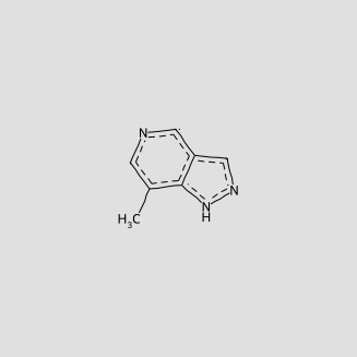 Cc1cn[c]c2cn[nH]c12